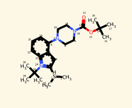 C[SiH](C)c1cc2c(N3CCN(C(=O)OC(C)(C)C)CC3)cccc2n1C(C)(C)C